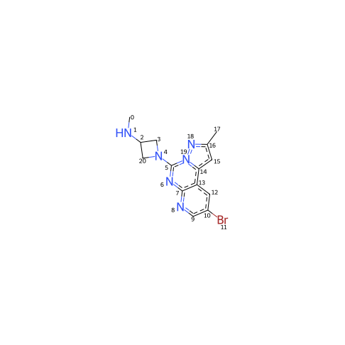 CNC1CN(c2nc3ncc(Br)cc3c3cc(C)nn23)C1